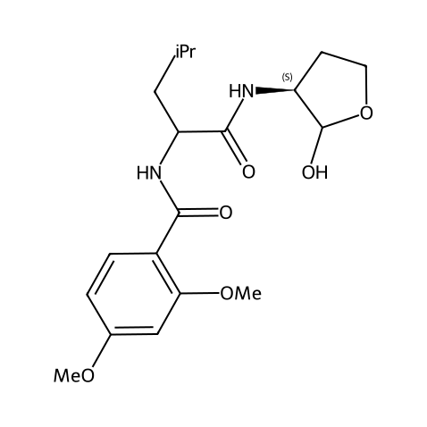 COc1ccc(C(=O)NC(CC(C)C)C(=O)N[C@H]2CCOC2O)c(OC)c1